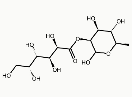 C[C@H]1OC(O)[C@@H](OC(=O)[C@H](O)[C@@H](O)[C@@H](O)[C@H](O)CO)[C@@H](O)[C@@H]1O